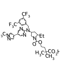 CCC1CC(N(Cc2cc(C(F)(F)F)cc(C(F)(F)F)c2)c2ncc(-c3cnn(C)c3)cn2)CN1C(=O)OCCC(C)(C)C(=O)O